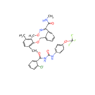 CNC(=O)/C(=N/OC)c1ccccc1COc1cc(C)ccc1C.O=C(NC(=O)c1ccccc1Cl)Nc1ccc(OC(F)(F)F)cc1